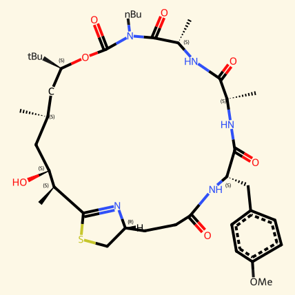 CCCCN1C(=O)O[C@H](C(C)(C)C)C[C@@H](C)C[C@H](O)[C@H](C)C2=N[C@H](CCC(=O)N[C@@H](Cc3ccc(OC)cc3)C(=O)N[C@@H](C)C(=O)N[C@@H](C)C1=O)CS2